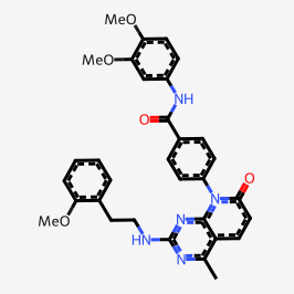 COc1ccccc1CCNc1nc(C)c2ccc(=O)n(-c3ccc(C(=O)Nc4ccc(OC)c(OC)c4)cc3)c2n1